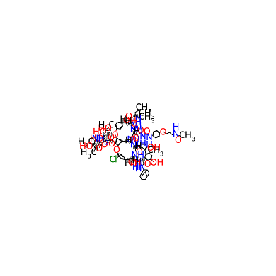 CN[C@H](CC(C)C)C(=O)N[C@H]1C(=O)N[C@@H](CC(=O)NC(=O)Nc2ccc(OCCCNC(C)=O)cc2)C(=O)N[C@H]2C(=O)N[C@H]3C(=O)N[C@H](C(=O)N[C@H](C(=O)NC4C5CC6CC(C5)CC4C6)c4cc(O)cc(C)c4-c4cc3ccc4O)[C@H](O)c3ccc(c(Cl)c3)Oc3cc2cc(c3O[C@@H]2O[C@H](CO)[C@@H](O)[C@H](O)[C@H]2O[C@H]2C[C@](C)(N)[C@H](O)[C@H](C)O2)Oc2ccc(cc2C)[C@H]1O